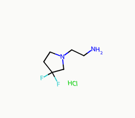 Cl.NCCN1CCC(F)(F)C1